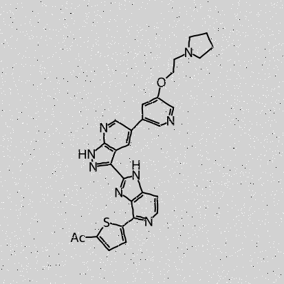 CC(=O)c1ccc(-c2nccc3[nH]c(-c4n[nH]c5ncc(-c6cncc(OCCN7CCCC7)c6)cc45)nc23)s1